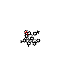 Cc1cc2c3c(c1)N(c1cccc4c1oc1ccccc14)c1ccc(N(c4ccc(C(C)(C)C)cc4)c4ccc(C(C)(C)C)cc4)cc1B3n1c3ccc(C(C)(C)C)cc3c3cc(C(C)(C)C)cc-2c31